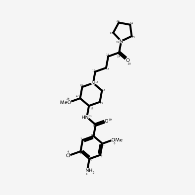 COc1cc(N)c(Cl)cc1C(=O)NC1CCN(CCCC(=O)N2CCCC2)CC1OC